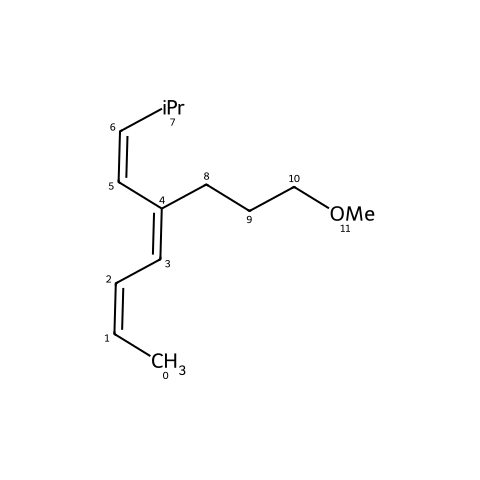 C\C=C/C=C(\C=C/C(C)C)CCCOC